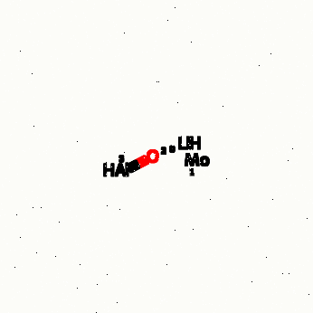 [LiH].[Mo].[O]=[AlH]